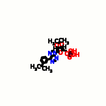 CC(C)c1cccc(-c2ncnc3c2ncn3[C@@H]2O[C@H](COP(=O)(O)O)[C@H]3OC(C)(C)O[C@H]32)c1